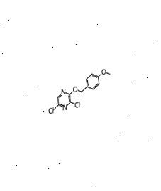 COc1ccc(COc2ncc(Cl)nc2Cl)cc1